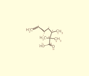 C=CCCC(C)C(C)(C)C(=O)O